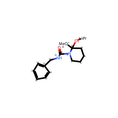 CCCOC1(OC)CCCCN1C(=O)NCc1ccccc1